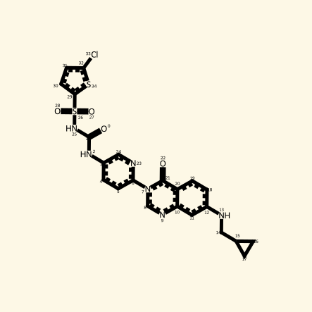 O=C(Nc1ccc(-n2cnc3cc(NCC4CC4)ccc3c2=O)nc1)NS(=O)(=O)c1ccc(Cl)s1